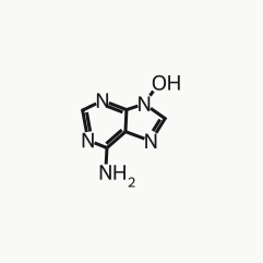 Nc1ncnc2c1ncn2O